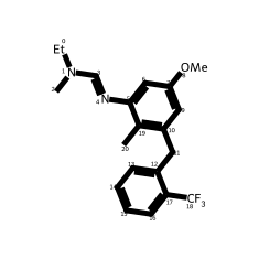 CCN(C)C=Nc1cc(OC)cc(Cc2ccccc2C(F)(F)F)c1C